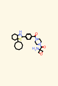 NC1(C(=O)N2CCN(C(=O)c3ccc(C4NC5CCCCC5(C5CCCCCCC5)S4)cc3)CC2)COC1